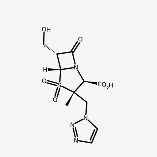 C[C@]1(Cn2ccnn2)[C@H](C(=O)O)N2C(=O)[C@@H](CO)[C@H]2S1(=O)=O